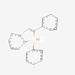 O=P1(c2ccccc2)C(c2ccccc2)=Cc2ccccc21